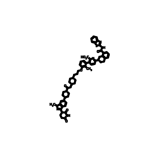 Cc1c(OCCCN2CCN(CC(=O)N3CCN(c4ccc5c(C6CCC(=O)NC6=O)nn(C)c5c4)CC3)CC2)cccc1-c1ccc(N2CCc3cccc(C(=O)Nc4nc5ccccc5s4)c3C2)nc1C(=O)O